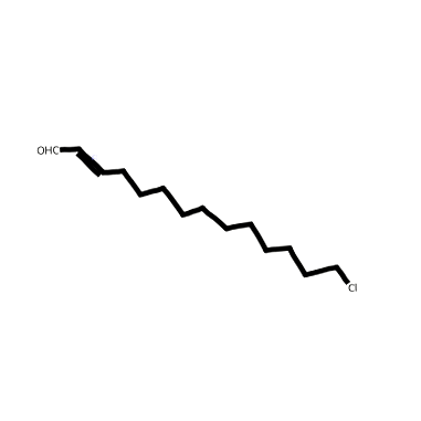 O=C/C=C/CCCCCCCCCCCCl